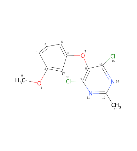 COc1cccc(Oc2c(Cl)nc(C)nc2Cl)c1